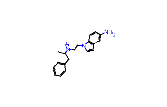 CC(Cc1ccccc1)NCCn1ccc2cc(N)ccc21